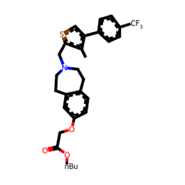 CCCCOC(=O)COc1ccc2c(c1)CCN(Cc1scc(-c3ccc(C(F)(F)F)cc3)c1C)CC2